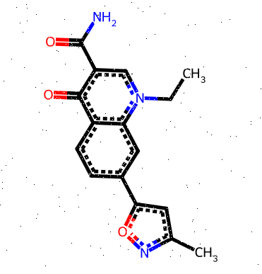 CCn1cc(C(N)=O)c(=O)c2ccc(-c3cc(C)no3)cc21